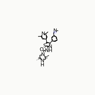 C/N=C\c1cccc(-c2nc(NC(=O)N3C[C@@H](C)NC[C@@H]3C)sc2-c2cc(C)nc(C)c2)c1